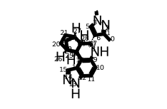 Cc1nn(C)cc1[C@@H]1Nc2ccc3[nH]ncc3c2[C@H]2[C@@H]3CC[C@@H](C3)[C@H]21